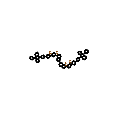 c1ccc(-c2c3ccccc3c(-c3ccc(-c4ccc5c(c4)sc4cc6sc7ccc8cc(-c9ccc%10ccc%11c%12ccc%13c%14ccc(-c%15ccc(-c%16c%17ccccc%17c(-c%17ccccc%17)c%17ccccc%16%17)cc%15)cc%14sc%13c%12sc%11c%10c9)ccc8c7c6cc45)cc3)c3ccccc23)cc1